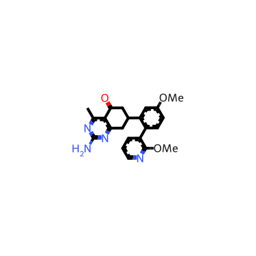 COc1ccc(-c2cccnc2OC)c(C2CC(=O)c3c(C)nc(N)nc3C2)c1